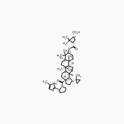 CC1([C@@H]2CC[C@]3(C(=O)N4CCC[C@H]4c4ncc(C(F)(F)F)[nH]4)CC[C@]4(C)[C@H](CC[C@@H]5[C@@]6(C)CC[C@H](OC(=O)[C@H]7C[C@@H](C(=O)O)C7(C)C)C(C)(C)[C@@H]6CC[C@]54C)[C@@H]23)CC1